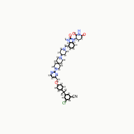 Cn1c(=O)n(C2CCC(=O)NC2=O)c2cccc(CN3CCC(N4CCC5(CCN(c6nccc(COc7ccc(C(C)(C)c8cc(Cl)cc(C#N)c8)cc7)n6)CC5)CC4)CC3)c21